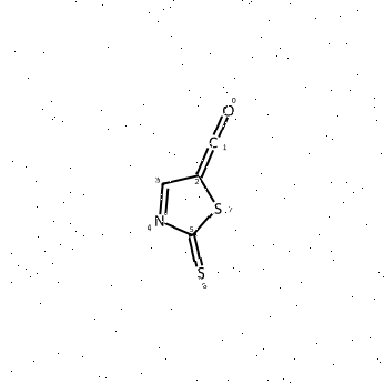 O=C=C1C=NC(=S)S1